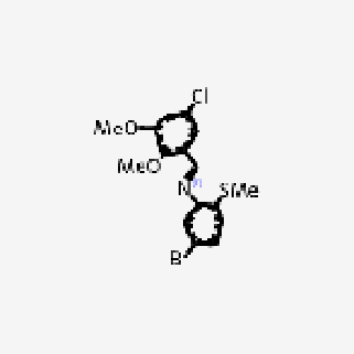 COc1cc(Cl)cc(/C=N/c2cc(Br)ccc2SC)c1OC